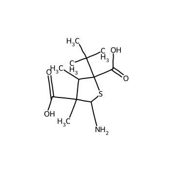 CC1C(C)(C(=O)O)C(N)SC1(C(=O)O)C(C)(C)C